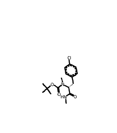 CNC(=O)[C@@H](Cc1ccc(Cl)cc1)N(C)C(=O)OC(C)(C)C